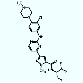 CN1CCN(c2ccc(Nc3nccc(-c4cc(C(=O)N[C@@H](CF)C(F)F)n(C)n4)n3)cc2Cl)CC1